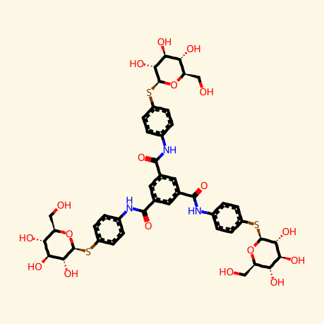 O=C(Nc1ccc(S[C@@H]2O[C@H](CO)[C@@H](O)[C@H](O)[C@H]2O)cc1)c1cc(C(=O)Nc2ccc(S[C@@H]3O[C@H](CO)[C@@H](O)[C@H](O)[C@H]3O)cc2)cc(C(=O)Nc2ccc(S[C@@H]3O[C@H](CO)[C@@H](O)[C@H](O)[C@H]3O)cc2)c1